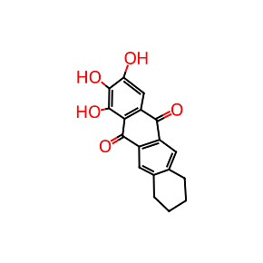 O=C1c2cc3c(cc2C(=O)c2c1cc(O)c(O)c2O)CCCC3